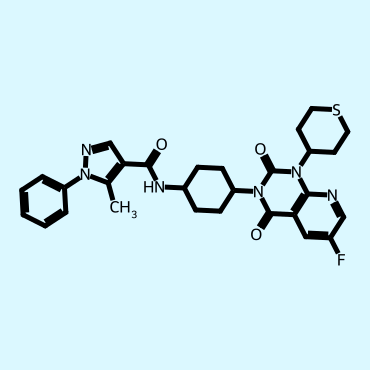 Cc1c(C(=O)NC2CCC(n3c(=O)c4cc(F)cnc4n(C4CCSCC4)c3=O)CC2)cnn1-c1ccccc1